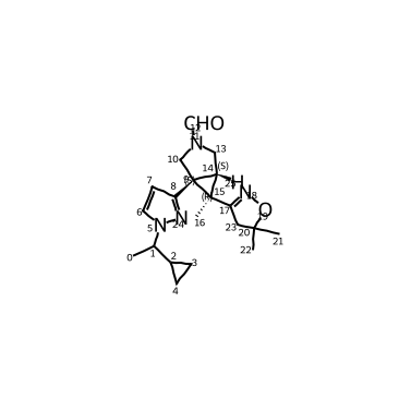 CC(C1CC1)n1ccc([C@@]23CN(C=O)C[C@@H]2[C@@]3(C)C2=NOC(C)(C)C2)n1